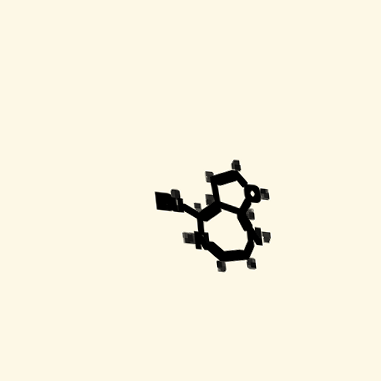 CCC(C)C1=c2ccoc2=NC=C=N1